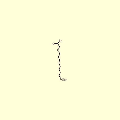 CCCCCCCCCCCCCCCCOCC(=O)CC